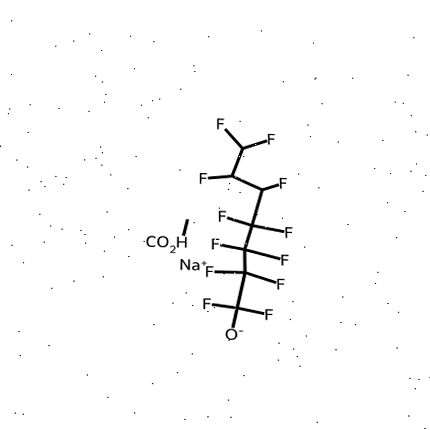 CC(=O)O.[Na+].[O-]C(F)(F)C(F)(F)C(F)(F)C(F)(F)C(F)C(F)C(F)F